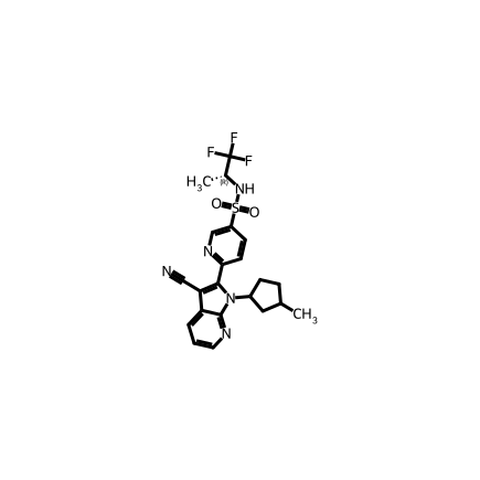 CC1CCC(n2c(-c3ccc(S(=O)(=O)N[C@H](C)C(F)(F)F)cn3)c(C#N)c3cccnc32)C1